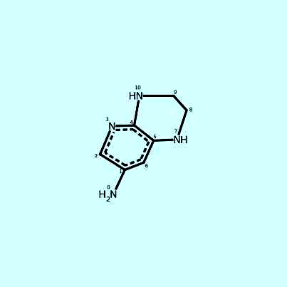 Nc1cnc2c(c1)NCCN2